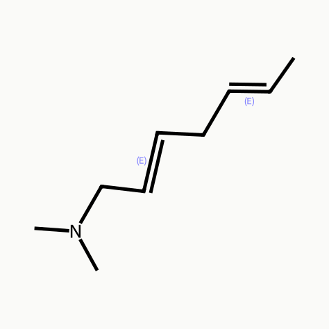 C/C=C/C/C=C/CN(C)C